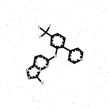 FC(F)(F)c1ccc(-c2ccncc2)c(Oc2ccc3nnc(Cl)n3n2)c1